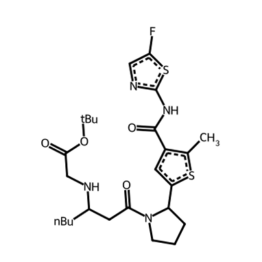 CCCCC(CC(=O)N1CCCC1c1cc(C(=O)Nc2ncc(F)s2)c(C)s1)NCC(=O)OC(C)(C)C